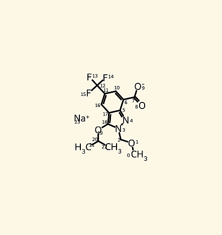 COCn1nc2c(C(=O)[O-])cc(C(F)(F)F)cc2c1OC(C)C.[Na+]